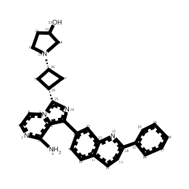 Nc1nccn2c1c(-c1ccc3ccc(-c4ccccc4)nc3c1)nc2[C@H]1C[C@@H](N2CCC(O)C2)C1